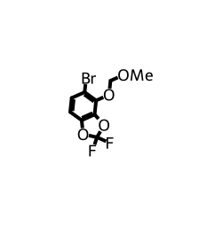 COCOc1c(Br)ccc2c1OC(F)(F)O2